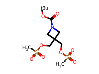 CC(C)(C)OC(=O)N1CC(COS(C)(=O)=O)(COS(C)(=O)=O)C1